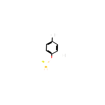 Cc1ccc(O[SH](=O)=S)cc1.[KH]